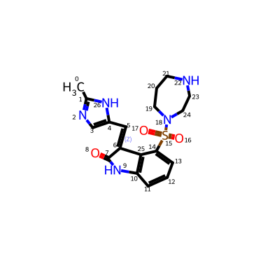 Cc1ncc(/C=C2\C(=O)Nc3cccc(S(=O)(=O)N4CCCNCC4)c32)[nH]1